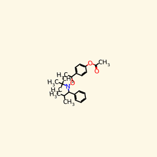 CC(=O)Oc1ccc(C(C)ON(C(c2ccccc2)C(C)C)C(C)(C)C)cc1